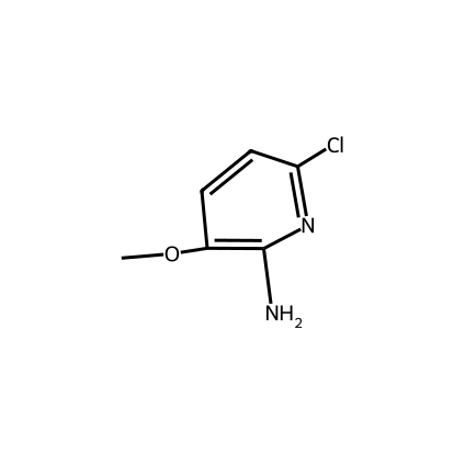 COc1ccc(Cl)nc1N